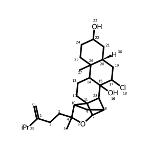 C=C(CCC1(C)OC2C3CC1C21CCC2C(O)(C(Cl)C[C@H]4CC(O)CCC24C)C31)C(C)C